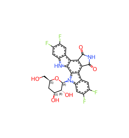 O=C1NC(=O)c2c1c1c3cc(F)c(F)cc3[nH]c1c1c2c2cc(F)c(F)cc2n1[C@@H]1O[C@H](CO)C[C@H](O)[C@H]1O